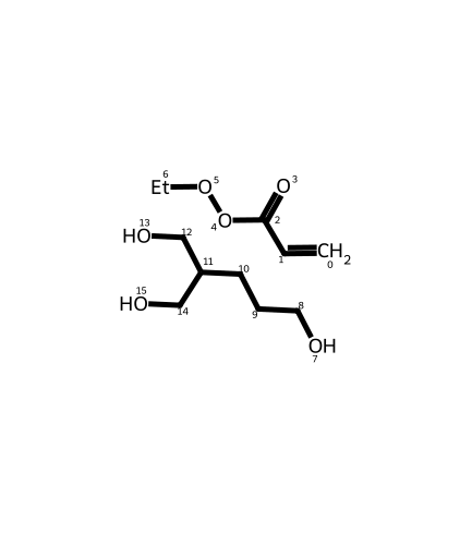 C=CC(=O)OOCC.OCCCC(CO)CO